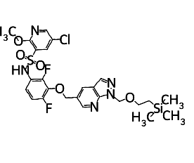 COc1ncc(Cl)cc1S(=O)(=O)Nc1ccc(F)c(OCc2cnc3c(cnn3COCC[Si](C)(C)C)c2)c1F